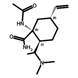 C=C[C@@H]1CC[C@@H](C(C)N(C)C)[C@@](NC(C)=O)(C(N)=O)C1